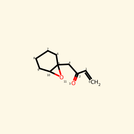 C=CC(=O)CC12CCCCC1O2